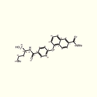 CNC(=O)c1ccc2c(Oc3ccc(C(=O)N[C@@H](CCC(C)(C)C)C(=O)O)cn3)cccc2c1